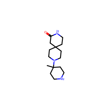 CC1(N2CCC3(CCNC(=O)C3)CC2)CCNCC1